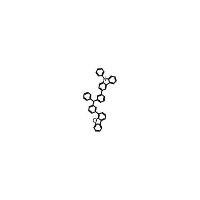 c1ccc(C(c2cccc(-c3ccc4c(c3)c3ccccc3n4-c3ccccc3)c2)c2cccc(-c3cccc4c3oc3ccccc34)c2)cc1